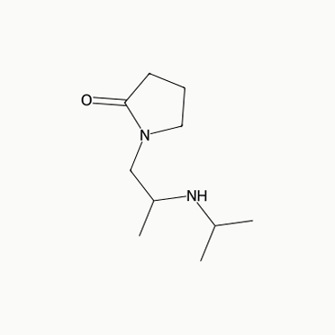 CC(C)NC(C)CN1CCCC1=O